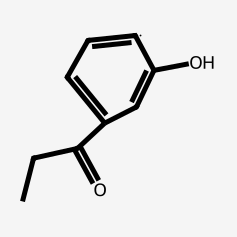 CCC(=O)c1cc[c]c(O)c1